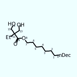 CCCCCCCCCCCCCCCCCOC(=O)C(CC)(CO)CO